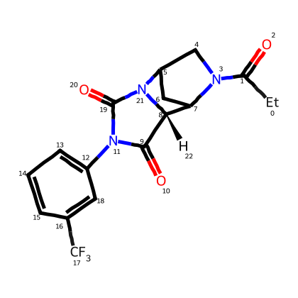 CCC(=O)N1CC2CC1[C@@H]1C(=O)N(c3cccc(C(F)(F)F)c3)C(=O)N21